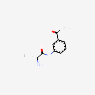 COC(=O)c1cccc(NC(=O)[C@@H](C)N)c1